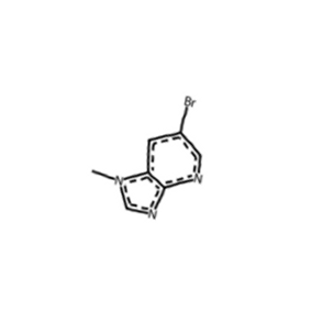 Cn1cnc2ncc(Br)cc21